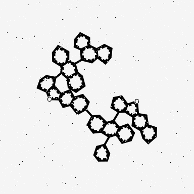 c1ccc(-c2c3ccccc3c(-c3cccc4oc5cc6ccccc6cc5c34)c3cc(-c4ccc5cc6c(cc5c4)oc4cccc(-c5c7ccccc7c(-c7cc8ccccc8c8ccccc78)c7ccccc57)c46)ccc23)cc1